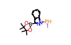 CC1(C)OB(c2nn(PI)c3ccccc23)OC1(C)C